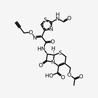 C#CCON=C(C(=O)N[C@@H]1C(=O)N2C(C(=O)O)=C(COC(C)=O)CS[C@H]12)c1csc(NC=O)n1